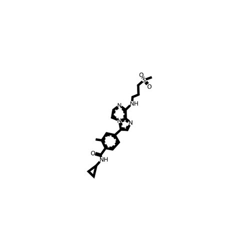 Cc1cc(-c2cnc3c(NCCCS(C)(=O)=O)nccn23)ccc1C(=O)NC1CC1